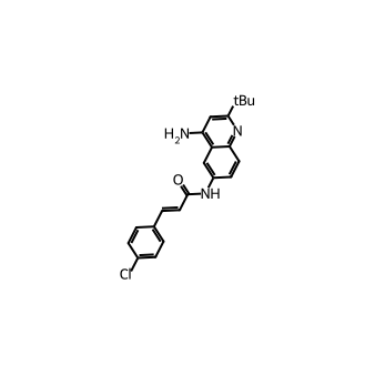 CC(C)(C)c1cc(N)c2cc(NC(=O)/C=C/c3ccc(Cl)cc3)ccc2n1